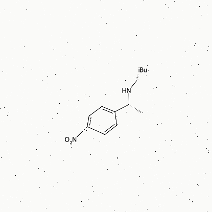 CC[C@@H](C)CN[C@H](C)c1ccc([N+](=O)[O-])cc1